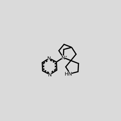 c1cnc([N+]23CCC(CC24CCNC4)C3)cn1